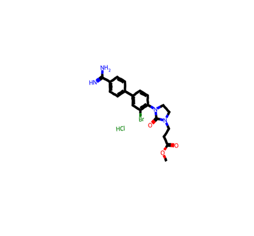 COC(=O)CCN1CCN(c2ccc(-c3ccc(C(=N)N)cc3)cc2Br)C1=O.Cl